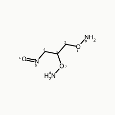 NOCC(CN=O)ON